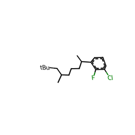 CC(CCCC(C)c1cccc(Cl)c1F)CC(C)(C)C